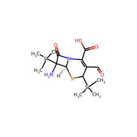 C[Si](C)(C)C1S[C@@H]2N(C(=O)C2(N)[Si](C)(C)C)C(C(=O)O)=C1C=O